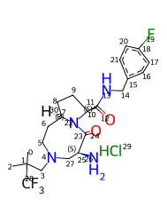 CC(C)(CN1CC[C@H]2CC[C@@H](C(=O)NCc3ccc(F)cc3)N2C(=O)[C@@H](N)C1)C(F)(F)F.Cl